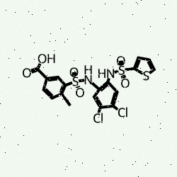 Cc1ccc(C(=O)O)cc1S(=O)(=O)Nc1cc(Cl)c(Cl)cc1NS(=O)(=O)c1cccs1